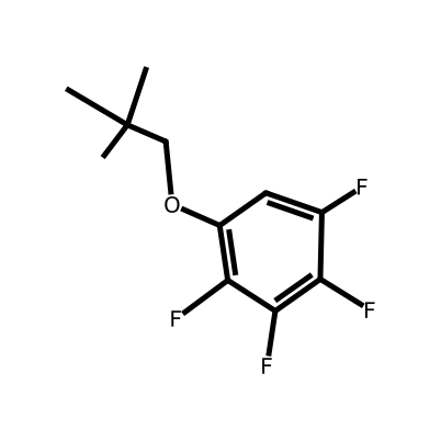 CC(C)(C)COc1cc(F)c(F)c(F)c1F